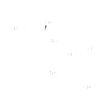 CC1CCC(C)(C)C1C=CC1(N)CC1N[C@H](C=O)CC(=O)O